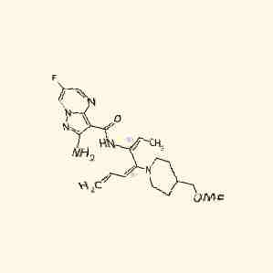 C=C/C=C(\C(=C/C)NC(=O)c1c(N)nn2cc(F)cnc12)N1CCC(COC)CC1